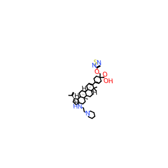 C=C(C)[C@@H]1CC[C@]2(NCCN3CCCCC3)CC[C@]3(C)[C@H](CC[C@@H]4[C@@]5(C)CC=C(C6=CCC(COc7cnsn7)(C(=O)O)CC6)C(C)(C)[C@@H]5CC[C@]43C)[C@@H]12